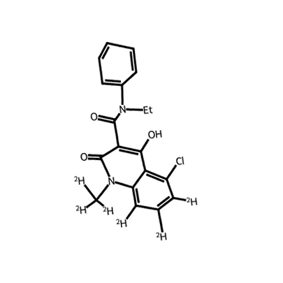 [2H]c1c([2H])c([2H])c2c(c(O)c(C(=O)N(CC)c3ccccc3)c(=O)n2C([2H])([2H])[2H])c1Cl